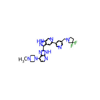 CN1CCN(c2ccnc3[nH]c(-c4n[nH]c5cnc(-c6cncc(CN7CCC(F)(F)C7)c6)cc45)nc23)CC1